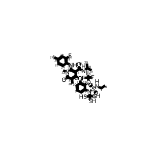 CCNS(=O)(=O)N(c1cccc(Oc2c(C(=O)NC(C)C)c(Nc3ccc(I)cc3F)n(C)c(=O)c2C)c1OC(F)(F)F)C(S)(S)S